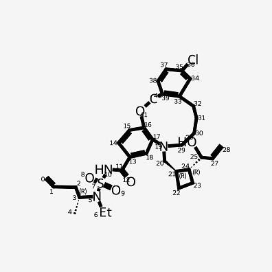 C=CC[C@@H](C)N(CC)S(=O)(=O)NC(=O)c1ccc2c(c1)N(C[C@@H]1CC[C@H]1C(O)C=C)CCCCc1cc(Cl)ccc1CO2